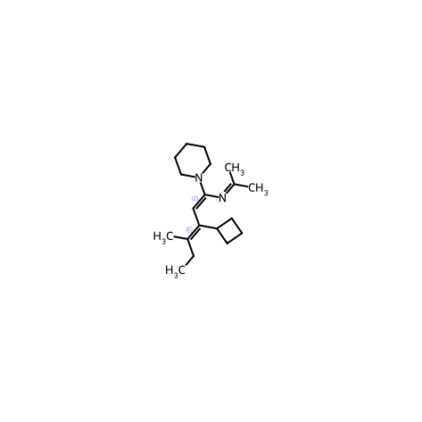 CC/C(C)=C(/C=C(\N=C(C)C)N1CCCCC1)C1CCC1